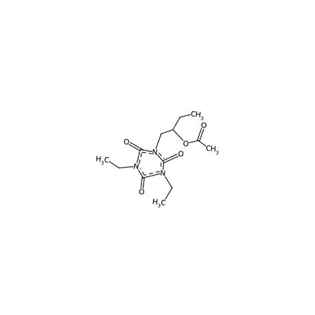 CCC(Cn1c(=O)n(CC)c(=O)n(CC)c1=O)OC(C)=O